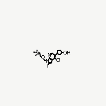 C[Si](C)(C)CCOCn1c(I)cc2c(Cl)c(C3CCC(O)C3)cnc21